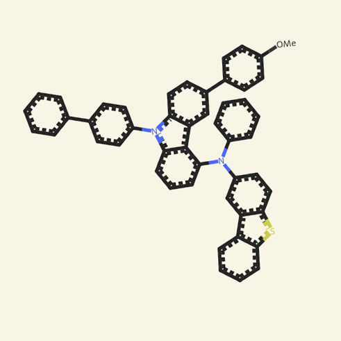 COc1ccc(-c2ccc3c(c2)c2c(N(c4ccccc4)c4ccc5sc6ccccc6c5c4)cccc2n3-c2ccc(-c3ccccc3)cc2)cc1